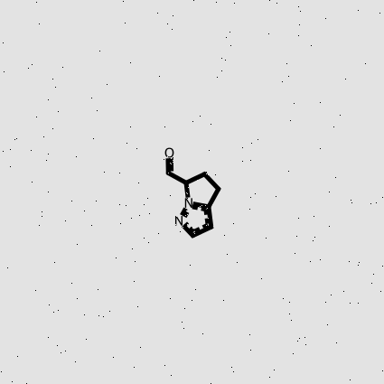 O=CC1CCc2ccnn21